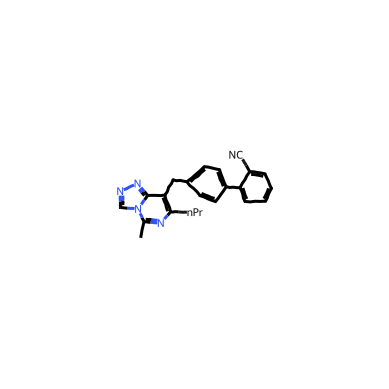 CCCc1nc(C)n2cnnc2c1Cc1ccc(-c2ccccc2C#N)cc1